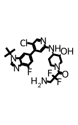 CC(C)(C)n1cnc2c(F)cc(-c3cc(N[C@@H]4CCN(C(=O)C(F)(F)CN)C[C@H]4O)ncc3Cl)cc21